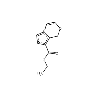 CCOC(=O)c1ccn2c1COC=C2